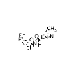 COCC1C[C@@H](NC(=O)c2nnc(-c3cc(C(F)(F)F)ccc3Cl)o2)CN1C#N